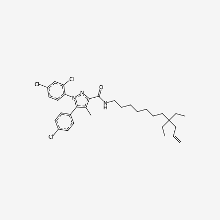 C=CCC(CC)(CC)CCCCCCCNC(=O)c1nn(-c2ccc(Cl)cc2Cl)c(-c2ccc(Cl)cc2)c1C